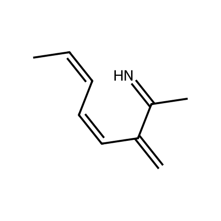 C=C(/C=C\C=C/C)C(C)=N